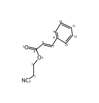 N#CCCOC(=O)C=Cc1ccccc1